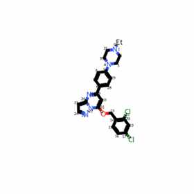 CCN1CCN(c2ccc(-c3cc(OCc4ccc(Cl)cc4Cl)n4nccc4n3)cc2)CC1